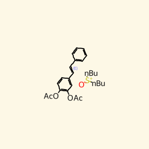 CC(=O)Oc1ccc(/C=C/c2ccccc2)cc1OC(C)=O.CCCC[S+]([O-])CCCC